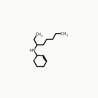 CCCCCC(CC)NC1C=CCCC1